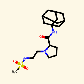 CS(=O)(=O)NCCN1CCCC1C(=O)NC12CC3CC(CC(C3)C1)C2